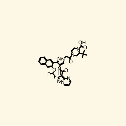 CC(C)(C)C1CN(C(=O)Cn2cc(NC(=O)c3cnn4cccnc34)c(-c3cc4ccccc4cc3OC(F)F)n2)CCN1C(=O)O